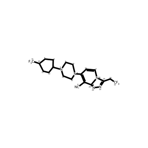 N#Cc1c(N2CCN(C3CCC(C(F)(F)F)CC3)CC2)ccn2c(CC(F)(F)F)nnc12